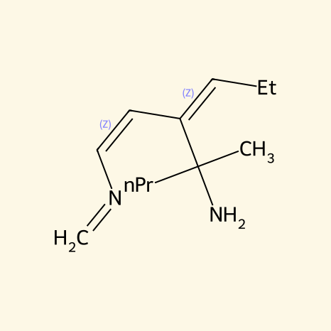 C=N/C=C\C(=C\CC)C(C)(N)CCC